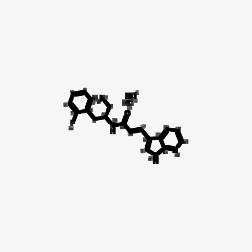 Cl.Cl.NC[C@H](Cc1ccccc1F)NC(=O)C=Cc1c[nH]c2ncccc12